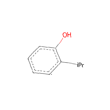 CC(C)c1[c]cccc1O